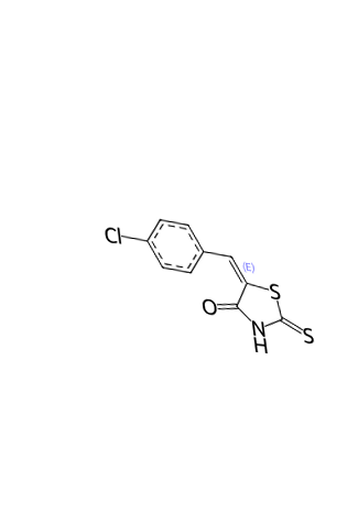 O=C1NC(=S)S/C1=C/c1ccc(Cl)cc1